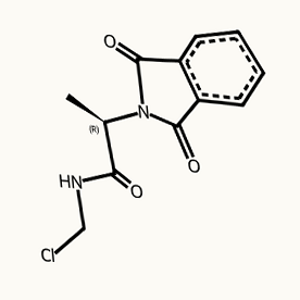 C[C@H](C(=O)NCCl)N1C(=O)c2ccccc2C1=O